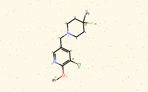 CC(C)Oc1ncc(CN2CCC(F)(C(C)C)CC2)cc1Cl